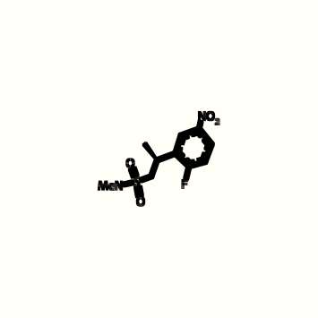 CNS(=O)(=O)C[C@@H](C)c1cc([N+](=O)[O-])ccc1F